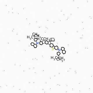 CC(C)(C)c1ccc(N(c2ccc3c(c2)C(C)(C)c2cc4c(cc2-3)-c2cc3sc5cc(N(c6ccc(C(C)(C)C)cc6)c6cccc7ccccc67)ccc5c3cc2C42C3CC4CC(C3)CC2C4)c2cccc3ccccc23)cc1